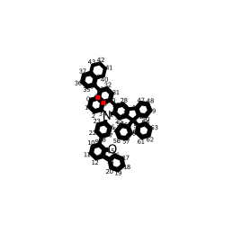 c1ccc(N(c2ccc(-c3cccc4c3oc3ccccc34)cc2)c2cc3c(cc2-c2ccc(-c4cccc5c4CCCC5)cc2)-c2ccccc2C3(c2ccccc2)c2ccccc2)cc1